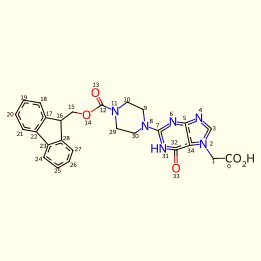 O=C(O)Cn1cnc2nc(N3CCN(C(=O)OCC4c5ccccc5-c5ccccc54)CC3)[nH]c(=O)c21